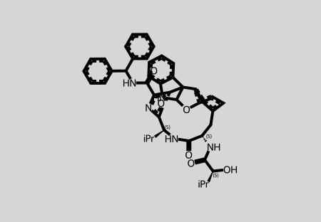 CC(C)[C@H](O)C(=O)N[C@H]1Cc2ccc3c(c2)C2(c4ccccc4NC2O3)c2oc(nc2C(=O)NC(c2ccccc2)c2ccccc2)[C@H](C(C)C)NC1=O